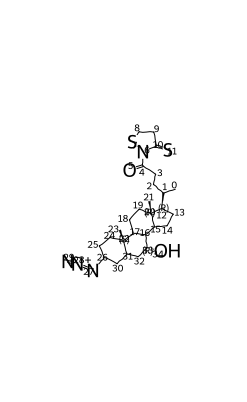 CC(CCC(=O)N1SCCC1=S)[C@H]1CCC2C3C(CC[C@@]21C)[C@@]1(C)CCC(N=[N+]=[N-])CC1C[C@H]3O